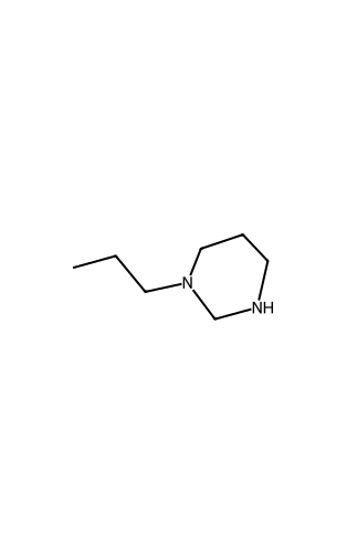 CCCN1CCCNC1